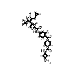 Cn1c(-c2c(C(F)(F)F)n[nH]c2CC2CC2)cnc1C(=O)Nc1ccc(C(=O)N2CCN(C(=O)NC3CC(N)C3)CC2)c(F)c1